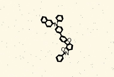 c1ccc(-c2nc3ccc4oc5cc(-c6ccc(N(c7ccccc7)c7ccc8ccccc8c7)cc6)ccc5c4c3o2)cc1